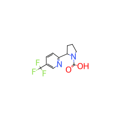 O=C(O)N1CCCC1c1ccc(C(F)(F)F)cn1